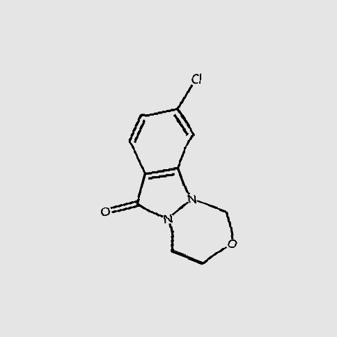 O=c1c2ccc(Cl)cc2n2n1CCOC2